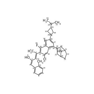 C/C(=C\C(O)=C/c1ccccc1C)c1c(Cl)cc2c(N3CC4CCC(C3)N4)cc(N3CC(N(C)C)C3)nc2c1F